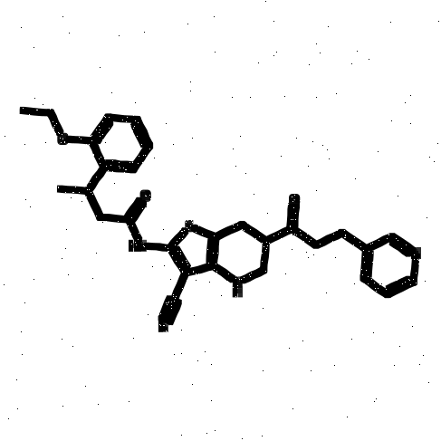 CCOc1ccccc1C(C)CC(=O)Nc1sc2c(c1C#N)NCC(C(=O)CCc1cccnc1)C2